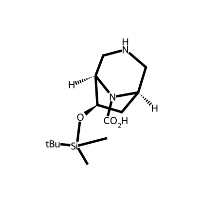 CC(C)(C)[Si](C)(C)O[C@@H]1C[C@@H]2CNC[C@H]1N2C(=O)O